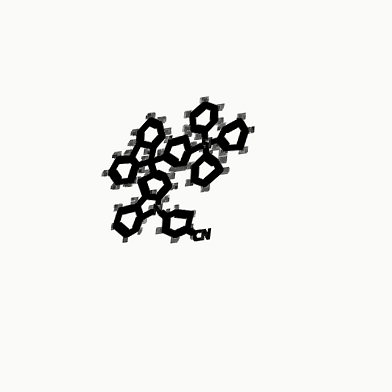 N#Cc1ccc(-n2c3ccccc3c3cc(C4(c5ccc([Si](c6ccccc6)(c6ccccc6)c6ccccc6)cc5)c5ccccc5-c5ccccc54)ccc32)cc1